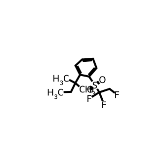 CCC(C)(C)c1ccccc1S(=O)(=O)C(F)(F)CF